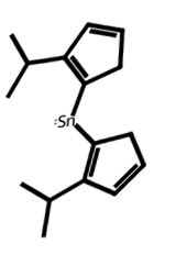 CC(C)C1=[C]([Sn][C]2=C(C(C)C)C=CC2)CC=C1